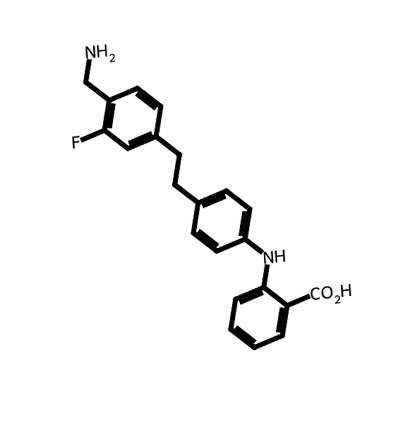 NCc1ccc(CCc2ccc(Nc3ccccc3C(=O)O)cc2)cc1F